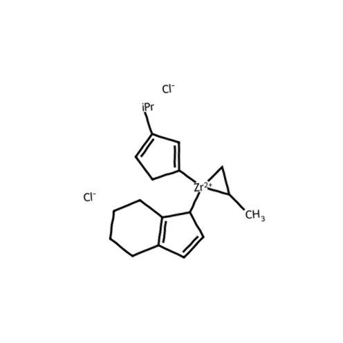 CC(C)C1=CC[C]([Zr+2]2([CH]3C=CC4=C3CCCC4)[CH2][CH]2C)=C1.[Cl-].[Cl-]